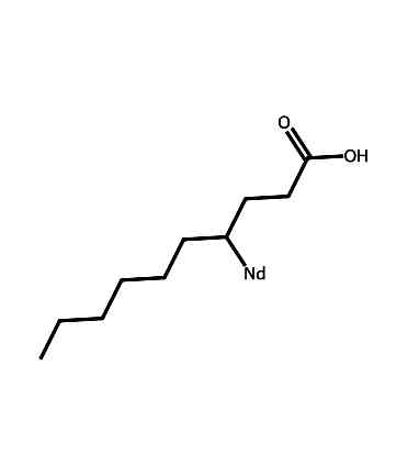 CCCCCC[CH]([Nd])CCC(=O)O